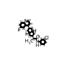 CC(C(=O)Nc1cccc(Cl)c1)[C@H]1C[C@H]2C[C@@H](c3ccnc4ccc(F)cc34)C[C@H]2C1